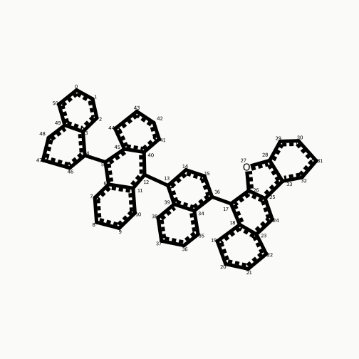 c1ccc2c(-c3c4ccccc4c(-c4ccc(-c5c6ccccc6cc6c5oc5ccccc56)c5ccccc45)c4ccccc34)cccc2c1